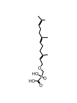 CC(C)=CCC/C(C)=C/CC/C(C)=C/COCP(=O)(O)C(=O)O